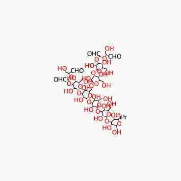 CC(C)C1OC(CO)C(O)C(OC2OC(CO)C(O)C(OC3OC(CO)C(O)C(OC4OC(COC5OC(CO)C(O)C(OC6OC(CO)C(O)C(OC(C=O)OC(C=O)CO)C6O)C5O)C(O)C(OC5OC(CO)C(O)C(OC(C=O)OC(C=O)CO)C5O)C4O)C3O)C2O)C1O